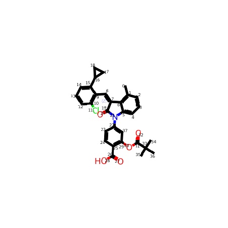 Cc1cccc2c1/C(=C/c1c(Cl)cccc1C1CC1)C(=O)N2c1ccc(C(=O)O)c(OC(=O)C(C)(C)C)c1